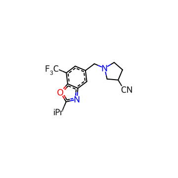 CC(C)c1nc2cc(CN3CCC(C#N)C3)cc(C(F)(F)F)c2o1